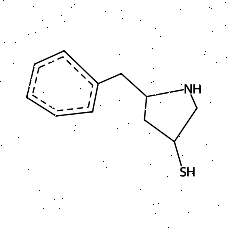 SC1CNC(Cc2ccccc2)C1